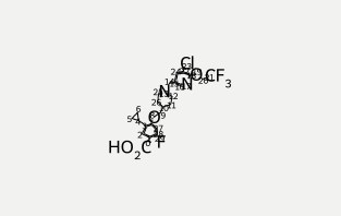 O=C(O)c1cc(C2CC2)c(OCC2CCN(Cc3cnc(OCC(F)(F)F)c(Cl)c3)CC2)cc1F